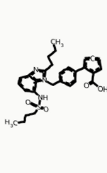 CCCCc1nc2cccc(NS(=O)(=O)CCCC)c2n1Cc1ccc(-c2ccccc2C(=O)O)cc1